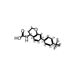 O=C(O)NC1CCOc2cc(-c3ccc(C(F)(F)F)cc3)ccc21